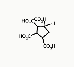 O=C(O)C1CC(Cl)(C(=O)O)C(C(=O)O)C1C(=O)O